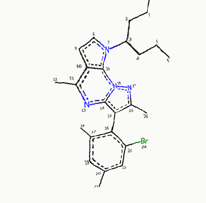 CCCC(CCC)n1ccc2c(C)nc3c(-c4c(C)cc(C)cc4Br)c(C)nn3c21